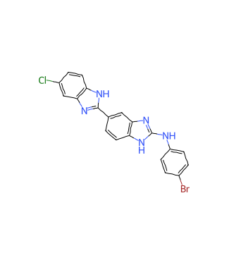 Clc1ccc2[nH]c(-c3ccc4[nH]c(Nc5ccc(Br)cc5)nc4c3)nc2c1